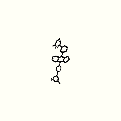 Cc1cncc(-c2ccc(-c3c4ccccc4c(-c4cccc(-c5cccc(C)n5)c4)c4ccccc34)cc2)c1